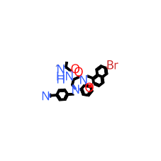 CNC(C)C(=O)NC1CN(Cc2ccc(C#N)cc2)c2ccccc2N(Cc2c(OC)ccc3cc(Br)ccc23)C1=O